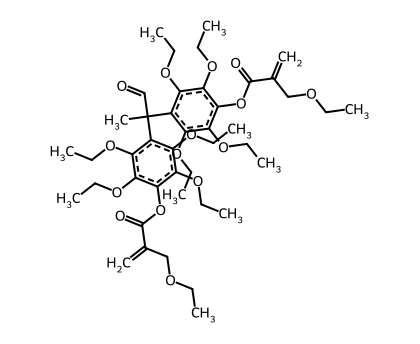 C=C(COCC)C(=O)Oc1c(OCC)c(OCC)c(C(C)(C=O)c2c(OCC)c(OCC)c(OC(=O)C(=C)COCC)c(OCC)c2OCC)c(OCC)c1OCC